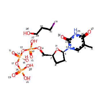 Cc1cn([C@H]2CC[C@@H](COP(=O)(O)O[P@@](=O)(O)OP(=O)(O)O)O2)c(=O)[nH]c1=O.OCCCI